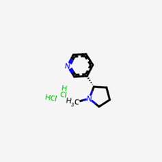 CN1CCC[C@H]1c1cccnc1.Cl.Cl